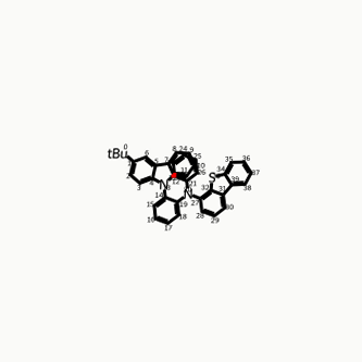 CC(C)(C)c1ccc2c(c1)c1ccccc1n2-c1ccccc1N(c1ccccc1)c1cccc2c1sc1ccccc12